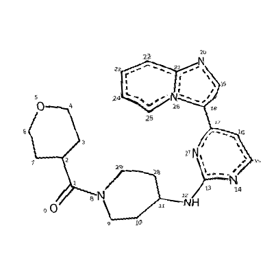 O=C(C1CCOCC1)N1CCC(Nc2nccc(-c3cnc4ccccn34)n2)CC1